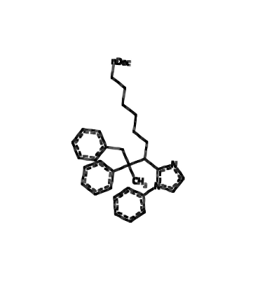 CCCCCCCCCCCCCCCCC(c1nccn1-c1ccccc1)C(C)(Cc1ccccc1)c1ccccc1